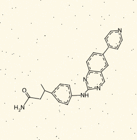 CC(CC(N)=O)c1ccc(Nc2ncc3cc(-c4ccncc4)ccc3n2)cc1